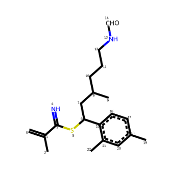 C=C(C)C(=N)SC(CC(C)CCCNC=O)c1ccc(C)cc1C